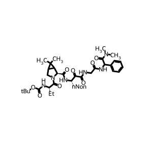 CCCCCCCCC[C@H](NC(=O)[C@@H]1C2C(CN1C(=O)[C@H](CC)NC(=O)OC(C)(C)C)C2(C)C)C(=O)C(=O)NCC(=O)NC(C(=O)N(C)C)c1ccccc1